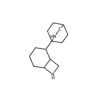 C1CC2NC[C]2C(C23CCC(CC2)CN3)C1